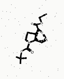 CCOC(=O)c1cncc2c1CCN2C(=O)OC(C)(C)C